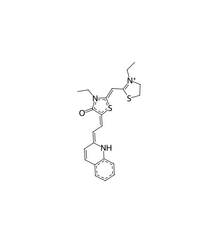 CCn1c(=O)c(=CC=C2C=Cc3ccccc3N2)s/c1=C\C1=[N+](CC)CCS1